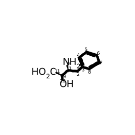 N[C@@H](Cc1ccccc1)[C@@H](O)C(=O)O